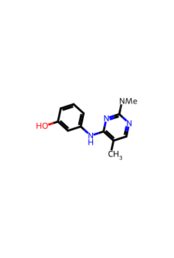 CNc1ncc(C)c(Nc2cccc(O)c2)n1